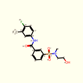 CN(CCO)S(=O)(=O)c1cccc(C(=O)Nc2ccc(F)c(C(F)(F)F)c2)c1